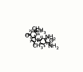 Cc1cc2c(n1-c1ccc(C(N)=O)c(N)c1)CC(C)(C)CC2=O